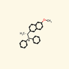 COc1ccc2cc([C@@H](C)[SiH](c3ccccc3)c3ccccc3)ccc2c1